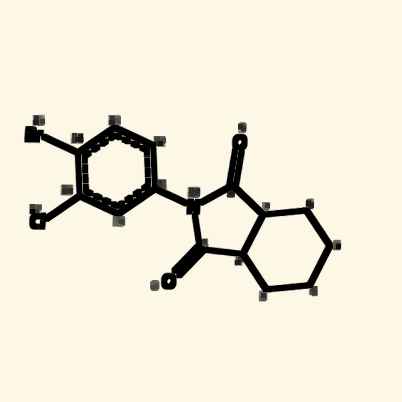 O=C1C2CCCCC2C(=O)N1c1ccc(Br)c(Cl)c1